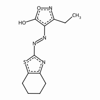 CCc1noc(O)c1N=Nc1nc2c(s1)CCCC2